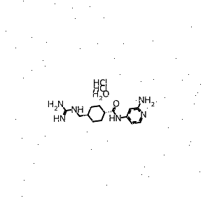 Cl.Cl.N=C(N)NC[C@H]1CC[C@H](C(=O)Nc2ccnc(N)c2)CC1.O